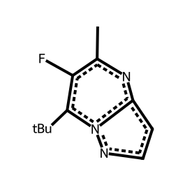 Cc1nc2ccnn2c(C(C)(C)C)c1F